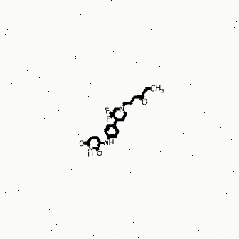 CCC(=O)CCCN1CCC(c2ccc(NC3CCC(=O)NC3=O)cc2)C(F)(F)C1